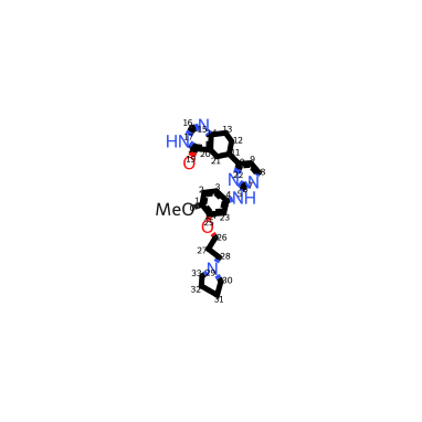 COc1ccc(Nc2nccc(C3CCc4nc[nH]c(=O)c4C3)n2)cc1OCCCN1CCCC1